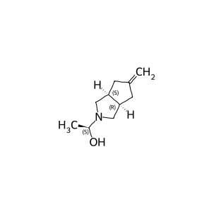 C=C1C[C@@H]2CN([C@H](C)O)C[C@@H]2C1